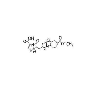 CCOC(=O)N1CCc2c(oc3cc(C=C4C(=O)N5C(C(=O)O)=CS[C@H]45)nn23)C1